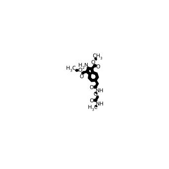 CCOC(=O)c1c2ccc(CC(=O)NOCC(=O)NC)ccc-2c(C(=O)OCC)c1N